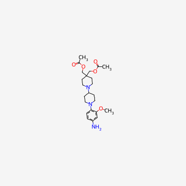 COc1cc(N)ccc1N1CCC(N2CCC(COC(C)=O)(COC(C)=O)CC2)CC1